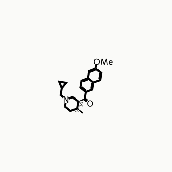 COc1ccc2cc(C(=O)[C@@H]3CN(CC4CC4)CC[C@@H]3C)ccc2c1